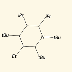 CCC1C(C(C)(C)C)C(C(C)C)C(C(C)C)N(C(C)(C)C)C1C(C)(C)C